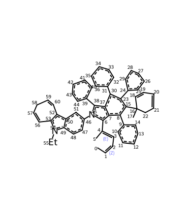 C/C=C\C=C(/C)c1c2c(-c3ccccc3)c(C3(C)C=CC=CC3)c(-c3ccccc3)c(-c3ccccc3)c2c(-c2ccccc2)n1-c1ccc2c(c1)c1c(n2CC)C=CCC=C1